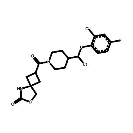 CCC(Oc1ccc(F)cc1Cl)C1CCN(C(=O)C2CC3(COC(=O)N3)C2)CC1